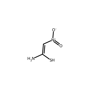 NC(S)=C[N+](=O)[O-]